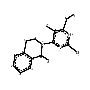 CCc1nc(Cl)nc(N2CCc3ccccc3C2C)c1C